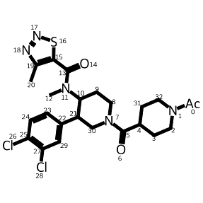 CC(=O)N1CCC(C(=O)N2CCC(N(C)C(=O)c3snnc3C)C(c3ccc(Cl)c(Cl)c3)C2)CC1